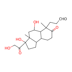 CC1(CCC=O)C(=O)CCC2C1C(O)CC1(C)C2CCC1(O)C(=O)CO